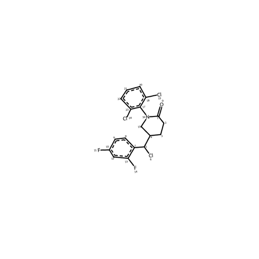 O=C1CCC(C(Cl)c2ccc(F)cc2F)CN1c1c(Cl)cccc1Cl